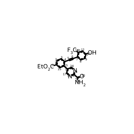 CCOC(=O)c1ccc(C#Cc2ccc(O)cc2C(F)(F)F)c(-c2cnc(C(N)=O)nc2)c1